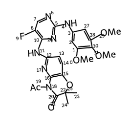 COc1cc(Nc2ncc(F)c(Nc3ccc4c(n3)N(C(C)=O)C(=O)C(C)(C)O4)n2)cc(OC)c1OC